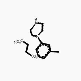 Cc1cccc(N2CCNCC2)c1.O=C(O)CCC(=O)O